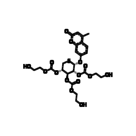 Cc1cc(=O)oc2cc(O[C@H]3SC[C@@H](OC(=O)OCCO)[C@H](OC(=O)OCCO)[C@H]3OC(=O)OCCO)ccc12